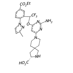 CCOC(=O)c1ccc(-n2ccc(C)n2)c(C(Oc2cc(N3CCC4(CC3)CN[C@H](C(=O)O)C4)nc(N)n2)C(F)(F)F)c1